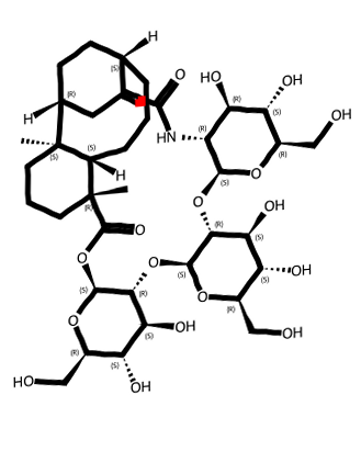 C=C1C[C@H]2CC[C@@H]1CCC[C@H]1[C@@]2(C)CCC[C@@]1(C)C(=O)O[C@@H]1O[C@H](CO)[C@@H](O)[C@H](O)[C@H]1O[C@@H]1O[C@H](CO)[C@@H](O)[C@H](O)[C@H]1O[C@@H]1O[C@H](CO)[C@@H](O)[C@H](O)[C@H]1NC(C)=O